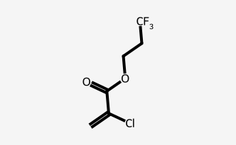 C=C(Cl)C(=O)OCCC(F)(F)F